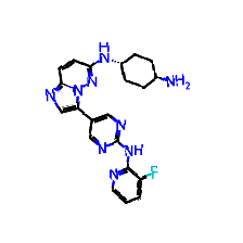 N[C@H]1CC[C@H](Nc2ccc3ncc(-c4cnc(Nc5ncccc5F)nc4)n3n2)CC1